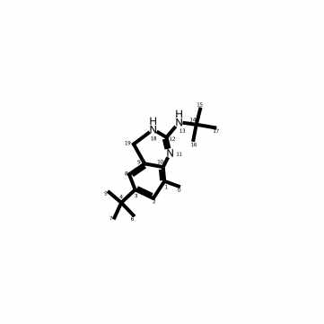 Cc1cc(C(C)(C)C)cc2c1N=C(NC(C)(C)C)NC2